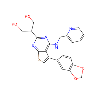 OCC(CO)c1nc(NCc2ccccn2)c2c(-c3ccc4c(c3)OCO4)csc2n1